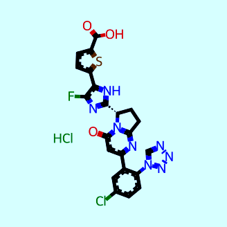 Cl.O=C(O)c1ccc(-c2[nH]c([C@@H]3CCc4nc(-c5cc(Cl)ccc5-n5cnnn5)cc(=O)n43)nc2F)s1